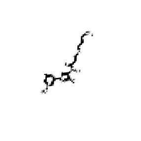 CCN(C(=O)CCSCCCC(F)(F)F)c1cn(-c2cc(F)c[n+](O)c2)nc1Cl